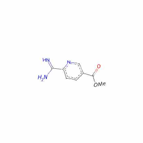 COC(=O)c1ccc(C(=N)N)nc1